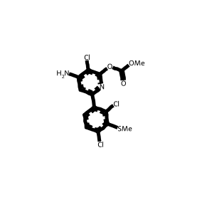 COC(=O)Oc1nc(-c2ccc(Cl)c(SC)c2Cl)cc(N)c1Cl